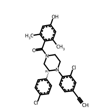 C#Cc1ccc(N2CCN(C(=O)c3c(C)cc(O)cc3C)C[C@H]2c2ccc(Cl)cc2)c(Cl)c1